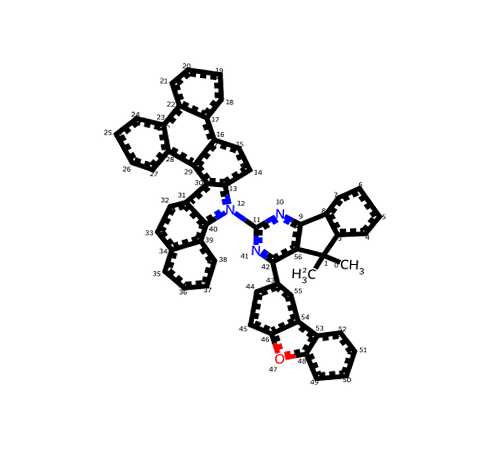 CC1(C)c2ccccc2-c2nc(-n3c4ccc5c6ccccc6c6ccccc6c5c4c4ccc5ccccc5c43)nc(-c3ccc4oc5ccccc5c4c3)c21